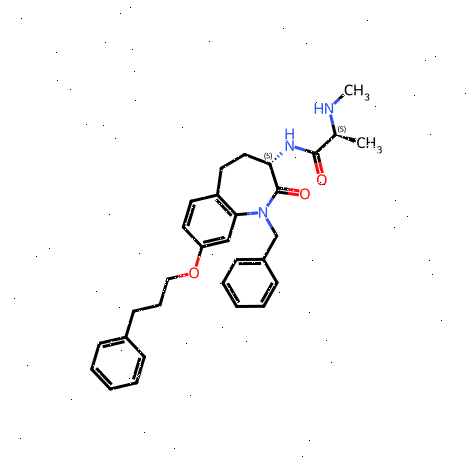 CN[C@@H](C)C(=O)N[C@H]1CCc2ccc(OCCCc3ccccc3)cc2N(Cc2ccccc2)C1=O